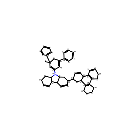 CC1(c2ccccc2)C=C(N2C3CCC=CC3C3C=CC(C4C=CC5C6=C(CCC=C6)C6=C(CCCC6)C5C4)CC32)C=C(c2ccccc2)C1